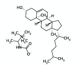 CC(C)CCCC(C)[C@H]1CC[C@H]2[C@@H]3CC=C4C[C@@H](O)CC[C@]4(C)[C@H]3CC[C@]12C.CC(NC(=O)[O-])[N+](C)(C)C